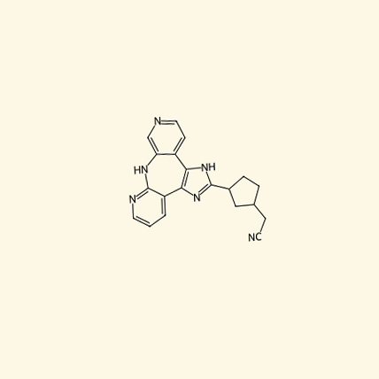 N#CCC1CCC(c2nc3c([nH]2)-c2ccncc2Nc2ncccc2-3)C1